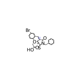 O=C(O)COc1ccc(Br)cc1/C=C1\SC(=S)N(Cc2ccccc2)C1=O